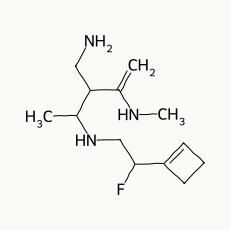 C=C(NC)C(CN)C(C)NCC(F)C1=CCC1